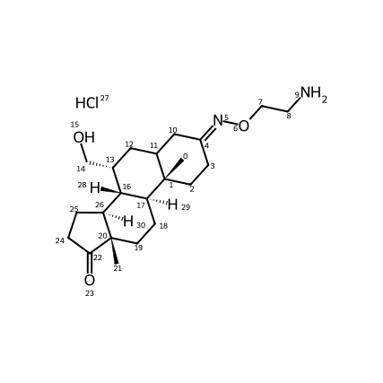 C[C@]12CCC(=NOCCN)CC1C[C@@H](CO)[C@@H]1[C@@H]2CC[C@]2(C)C(=O)CC[C@@H]12.Cl